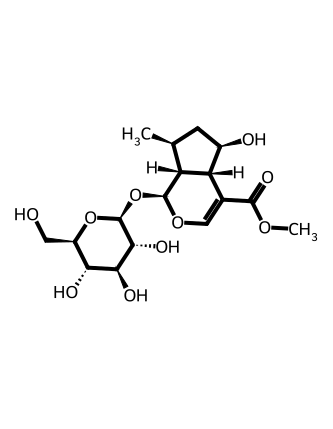 COC(=O)C1=CO[C@@H](O[C@@H]2O[C@H](CO)[C@@H](O)[C@H](O)[C@H]2O)[C@H]2[C@@H]1[C@H](O)C[C@@H]2C